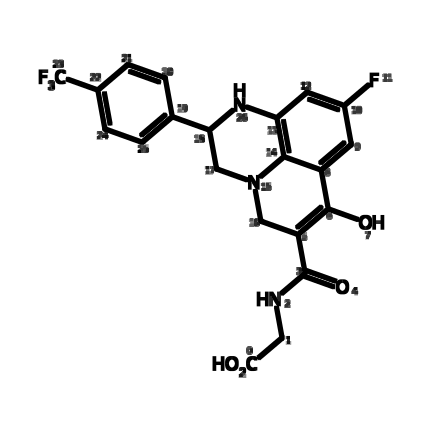 O=C(O)CNC(=O)C1=C(O)c2cc(F)cc3c2N(C1)CC(c1ccc(C(F)(F)F)cc1)N3